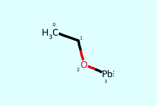 CC[O][Pb]